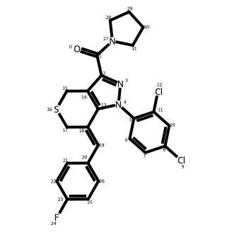 O=C(c1nn(-c2ccc(Cl)cc2Cl)c2c1CSC/C2=C\c1ccc(F)cc1)N1CCCC1